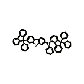 c1ccc(N(c2ccc3c(c2)sc2cc(C4(c5ccccc5)c5ccccc5-c5ccccc54)ccc23)c2cccc3c2-c2ccccc2C3(c2ccccc2)c2ccccc2)cc1